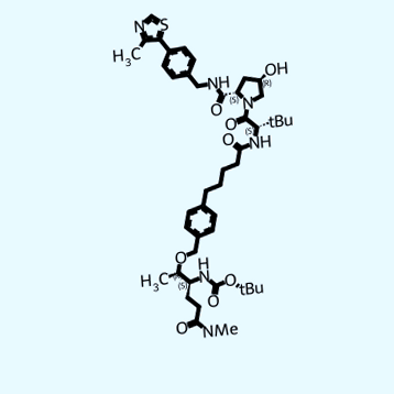 CNC(=O)CC[C@H](NC(=O)OC(C)(C)C)[C@@H](C)OCc1ccc(CCCCC(=O)N[C@H](C(=O)N2C[C@H](O)C[C@H]2C(=O)NCc2ccc(-c3scnc3C)cc2)C(C)(C)C)cc1